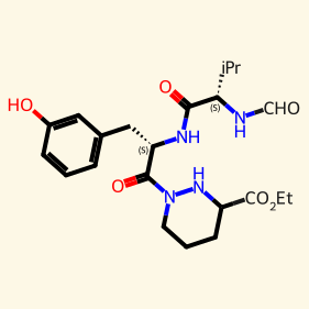 CCOC(=O)C1CCCN(C(=O)[C@H](Cc2cccc(O)c2)NC(=O)[C@@H](NC=O)C(C)C)N1